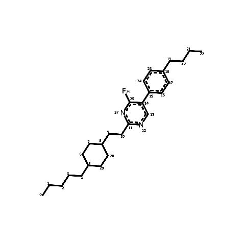 CCCCCC1CCC(CCc2ncc(-c3ccc(CCCC)cc3)c(F)n2)CC1